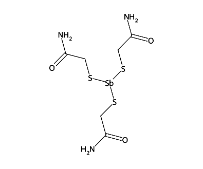 NC(=O)C[S][Sb]([S]CC(N)=O)[S]CC(N)=O